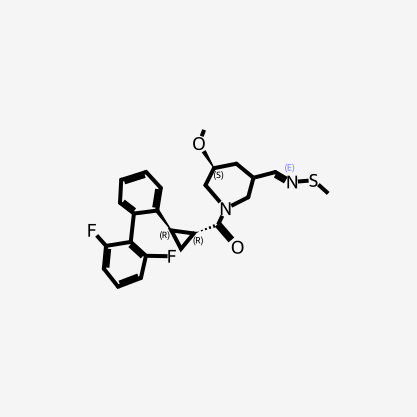 CO[C@H]1CC(/C=N/SC)CN(C(=O)[C@@H]2C[C@H]2c2ccccc2-c2c(F)cccc2F)C1